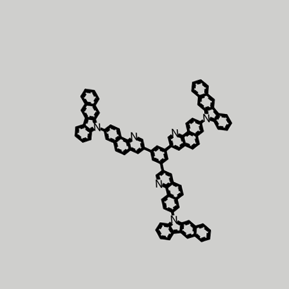 c1ccc2cc3c(cc2c1)c1ccccc1n3-c1ccc2c(ccc3cc(-c4cc(-c5cnc6c(ccc7cc(-n8c9ccccc9c9cc%10ccccc%10cc98)ccc76)c5)cc(-c5cnc6c(ccc7cc(-n8c9ccccc9c9cc%10ccccc%10cc98)ccc76)c5)c4)cnc32)c1